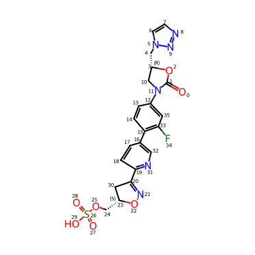 O=C1O[C@@H](Cn2ccnn2)CN1c1ccc(-c2ccc(C3=NO[C@H](COS(=O)(=O)O)C3)nc2)c(F)c1